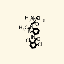 Cc1nc2c(NC(=O)c3c(Cl)cccc3Cl)cccc2n1CC(=O)N(C)C